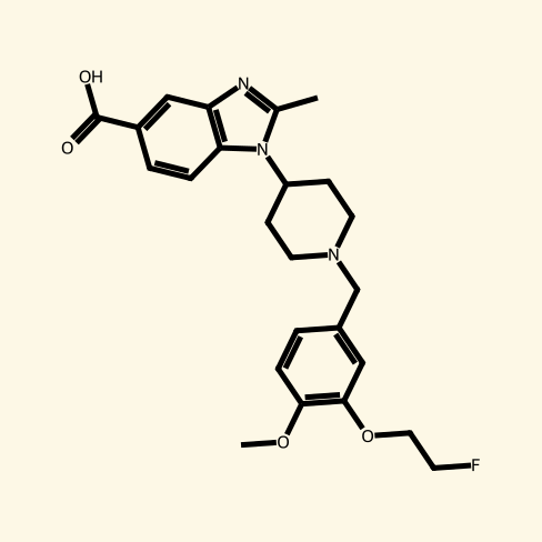 COc1ccc(CN2CCC(n3c(C)nc4cc(C(=O)O)ccc43)CC2)cc1OCCF